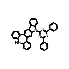 c1ccc(-c2nc(-c3ccccc3)nc(-n3c4ccccc4c4cc5c(cc43)-c3ccccc3Nc3ccccc3-5)n2)cc1